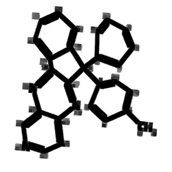 Cc1ccc(C2(c3ccccc3)c3ccccc3-c3nc4cnccc4nc32)cc1